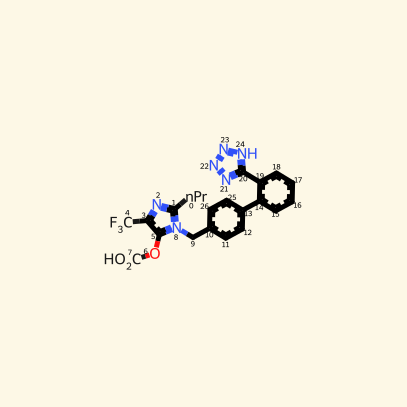 CCCc1nc(C(F)(F)F)c(OC(=O)O)n1Cc1ccc(-c2ccccc2-c2nnn[nH]2)cc1